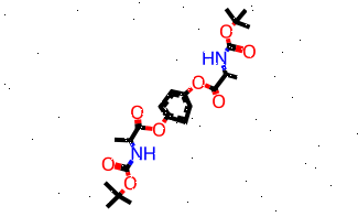 CC(NC(=O)OC(C)(C)C)C(=O)Oc1ccc(OC(=O)C(C)NC(=O)OC(C)(C)C)cc1